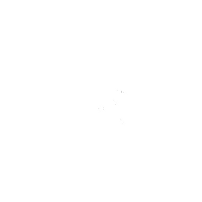 O=[Si].[Ga].[Si]